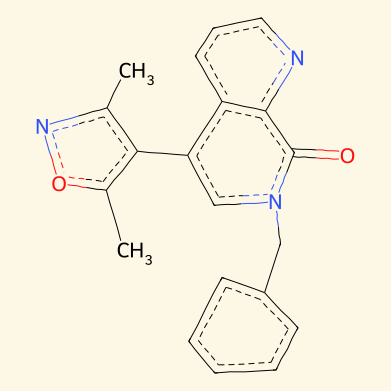 Cc1noc(C)c1-c1cn(Cc2ccccc2)c(=O)c2ncccc12